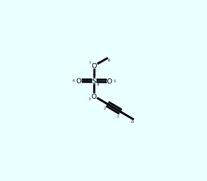 CC#COS(=O)(=O)OC